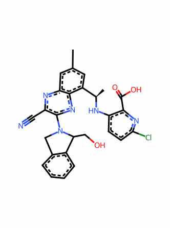 Cc1cc([C@@H](C)Nc2ccc(Cl)nc2C(=O)O)c2nc(N3Cc4ccccc4C3CO)c(C#N)nc2c1